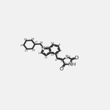 O=C1NC(=O)/C(=C/c2cccc3c2ccn3CC2CCCCC2)S1